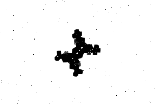 CC(C)c1cc2c3cc(C(C)C)sc3c3cc4c(cc3c2s1)c1sc(C(C)(C)C)cc1c1cc(C(C)(C)C)sc14